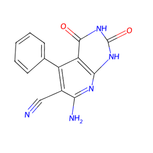 N#Cc1c(N)nc2[nH]c(=O)[nH]c(=O)c2c1-c1ccccc1